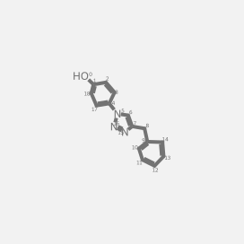 Oc1ccc(-n2cc(Cc3ccccc3)nn2)cc1